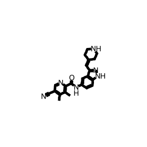 Cc1c(C#N)cnc(C(=O)Nc2ccc3[nH]nc(C=C4CCNCC4)c3c2)c1C